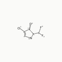 O=C1C(Cl)=[C][N]C1C(F)F